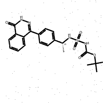 C[C@@H](NS(=O)(=O)NC(=O)OC(C)(C)C)c1ccc(-c2n[nH]c(=O)c3ccccc23)cc1